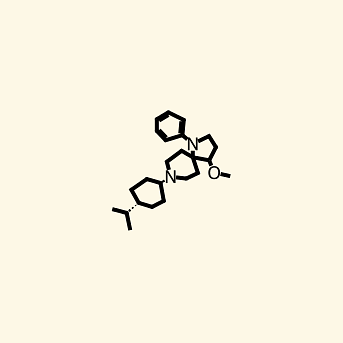 COC1CCN(c2ccccc2)C12CCN([C@H]1CC[C@@H](C(C)C)CC1)CC2